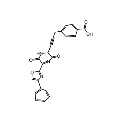 O=C1NC(C#CCc2ccc(C(=O)O)cc2)C(=O)N=C1c1nc(-c2ccccc2)co1